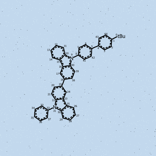 CC(C)(C)c1ccc(-c2ccc(-n3c4ccccc4c4cc(-c5ccc6c(c5)c5ccccc5n6-c5ccccc5)ccc43)cc2)cc1